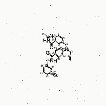 C#CCN(Cc1ccc2nc(C)[nH]c(=O)c2c1)c1ccc(C(=O)NCc2ccc[n+]([O-])c2)cc1